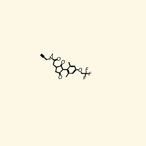 C#CCN(C)C(=O)CC1CC(=O)C(c2c(C)cc(OCC(F)(F)F)cc2C)C1=O